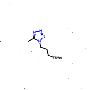 COCCCn1nnnc1C